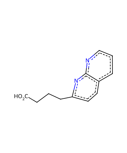 O=C(O)CCCc1ccc2cccnc2n1